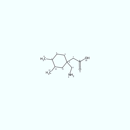 CC1CCC(CN)(CC(=O)O)CC1C